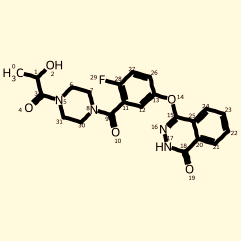 CC(O)C(=O)N1CCN(C(=O)c2cc(Oc3n[nH]c(=O)c4ccccc34)ccc2F)CC1